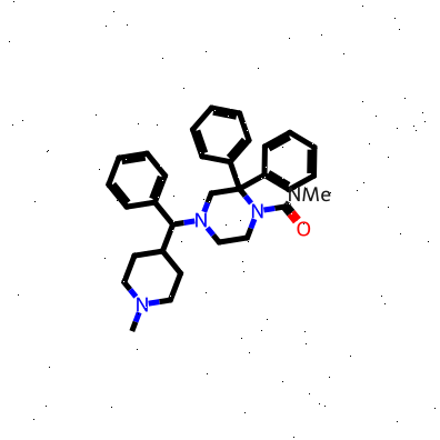 CNC(=O)N1CCN(C(c2ccccc2)C2CCN(C)CC2)CC1(c1ccccc1)c1ccccc1